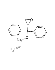 C=CC(=O)OC(c1ccccc1)(c1ccccc1)C1CO1